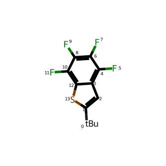 CC(C)(C)c1cc2c(F)c(F)c(F)c(F)c2s1